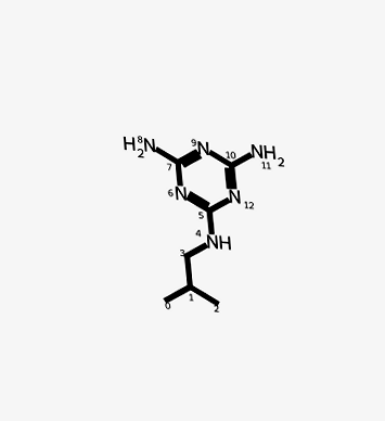 CC(C)CNc1nc(N)nc(N)n1